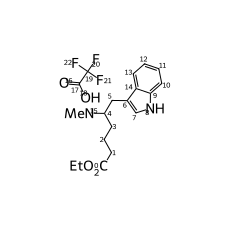 CCOC(=O)CCCC(Cc1c[nH]c2ccccc12)NC.O=C(O)C(F)(F)F